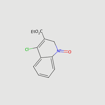 CCOC(=O)C1=C(Cl)c2ccccc2[N+](=O)C1